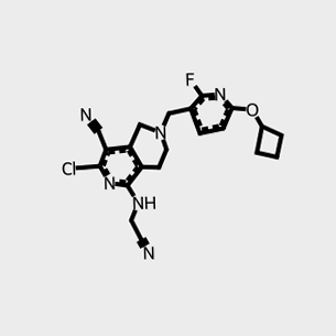 N#CCNc1nc(Cl)c(C#N)c2c1CCN(Cc1ccc(OC3CCC3)nc1F)C2